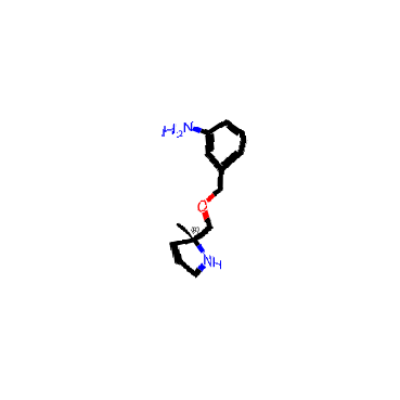 C[C@]1(COCc2cccc(N)c2)CCCN1